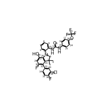 CC1(C)CN(c2ccccc2NC(=O)Nc2ccc(OC(F)(F)F)cc2)c2c(O)cc(F)c(-c3ccc(F)c(Cl)c3)c21